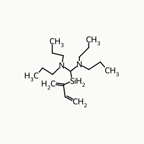 C=CC(=C)[SiH2]C(N(CCC)CCC)N(CCC)CCC